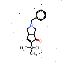 C[Si](C)(C)C1=CC2CN(Cc3ccccc3)CC2C1=O